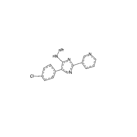 CCCNc1nc(-c2cccnc2)ncc1-c1ccc(Cl)cc1